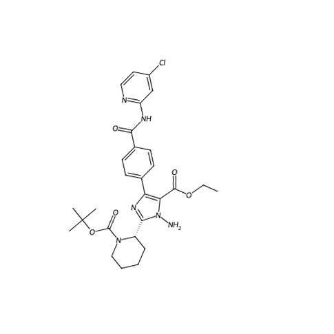 CCOC(=O)c1c(-c2ccc(C(=O)Nc3cc(Cl)ccn3)cc2)nc([C@@H]2CCCCN2C(=O)OC(C)(C)C)n1N